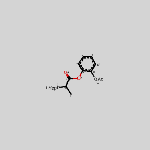 CCCCCCCC(C)C(=O)Oc1ccccc1OC(C)=O